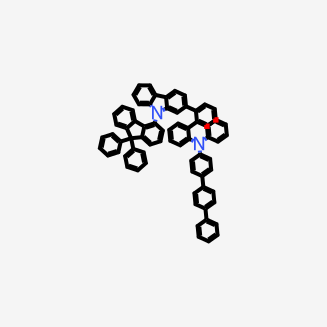 c1ccc(-c2ccc(-c3ccc(N(c4ccccc4)c4ccccc4-c4ccccc4-c4ccc5c6ccccc6n(-c6cccc7c6-c6ccccc6C7(c6ccccc6)c6ccccc6)c5c4)cc3)cc2)cc1